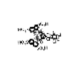 Cl[C@H]1[C@H](Cl)[C@@H](Cl)[C@@H](Cl)[C@H](Cl)[C@H]1Cl.O=C(Nc1cc(S(=O)(=O)O)cc2cc(S(=O)(=O)O)cc(S(=O)(=O)O)c12)c1cc(C(=O)Nc2cc(S(=O)(=O)O)cc3cc(S(=O)(=O)O)cc(S(=O)(=O)O)c23)cc([N+](=O)[O-])c1